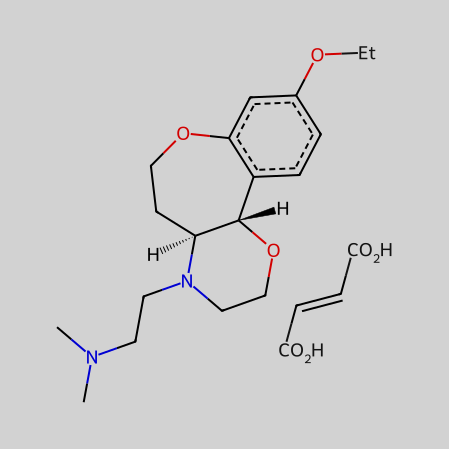 CCOc1ccc2c(c1)OCC[C@H]1[C@H]2OCCN1CCN(C)C.O=C(O)C=CC(=O)O